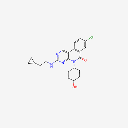 O=c1c2cc(Cl)ccc2c2cnc(NCCC3CC3)nc2n1[C@H]1CC[C@H](O)CC1